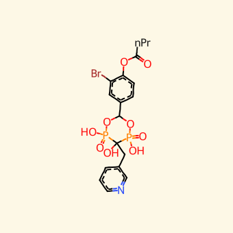 CCCC(=O)Oc1ccc(C2OP(=O)(O)C(O)(Cc3cccnc3)P(=O)(O)O2)cc1Br